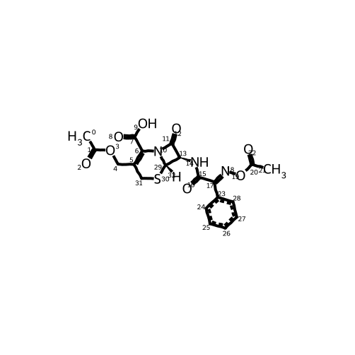 CC(=O)OCC1=C(C(=O)O)N2C(=O)[C@@H](NC(=O)C(=NOC(C)=O)c3ccccc3)[C@@H]2SC1